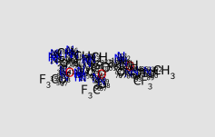 CO[C@]1(CC2CC([C@@H](c3cc(-c4nnnn4CC4CC([C@H](c5cc(-c6nnnn6C)cc(-n6cc7c(C(F)(F)F)cccn7c6=O)c5)c5nncn5C)C4)cc(-n4cc5c(C(F)(F)F)cccn5c4=O)c3)c3nncn3C)C2)C[C@H]([C@@H](c2cccc(-n3cc4c(C(F)(F)F)cc(CN5CCC[C@H](C)C5)cn4c3=O)c2)c2nncn2C)C1